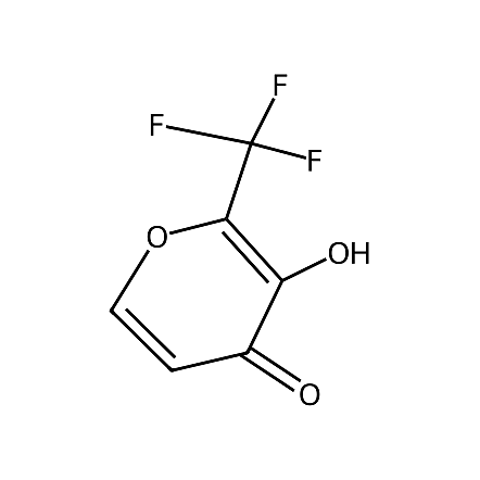 O=c1ccoc(C(F)(F)F)c1O